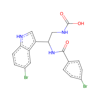 O=C(O)NCC(NC(=O)c1ccc(Br)cc1)c1c[nH]c2ccc(Br)cc12